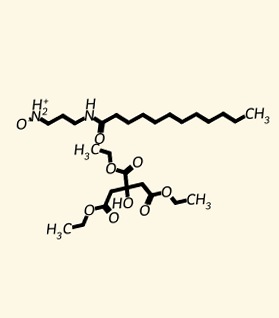 CCCCCCCCCCCC(=O)NCCC[NH2+][O-].CCOC(=O)CC(O)(CC(=O)OCC)C(=O)OCC